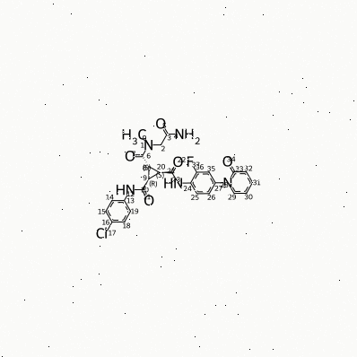 CN(CC(N)=O)C(=O)[C@H]1[C@H](C(=O)Nc2ccc(Cl)cc2)[C@@H]1C(=O)Nc1ccc(-n2ccccc2=O)cc1F